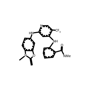 C=C1Oc2cc(Nc3cc(Nc4ccccc4C(=O)NC)c(C(F)(F)F)cn3)ccc2N1C